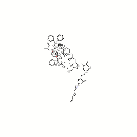 C=CCOC/C=C/[C@H]1CC(=C)C(CC[C@H]2C[C@@H](C)C(=C)C(C[C@@H]3OC(C[C@H](C)CO[Si](C)(C)C(C)(C)C)[C@H](C)C3CC(=O)C[C@H]3CC[C@@H]4O[C@@H]5[C@@H](O[C@H](CC(C)C=C)[C@@H]5O[Si](c5ccccc5)(c5ccccc5)C(C)(C)C)[C@@H](O[Si](c5ccccc5)(c5ccccc5)C(C)(C)C)[C@H]4O3)O2)O1